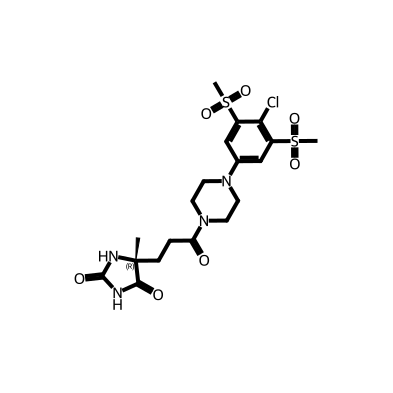 C[C@]1(CCC(=O)N2CCN(c3cc(S(C)(=O)=O)c(Cl)c(S(C)(=O)=O)c3)CC2)NC(=O)NC1=O